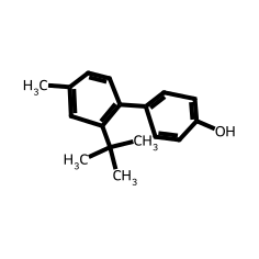 Cc1ccc(-c2ccc(O)cc2)c(C(C)(C)C)c1